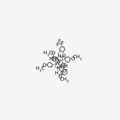 COc1ccc(C2(c3ccc(OC)cc3)CN(Cc3ccccc3OC)C(=N)N2N2C(=N)N(Cc3cccc(C(F)(F)F)c3)C(=O)C2(c2ccc(OC)cc2)c2ccc(OC)cc2)cc1